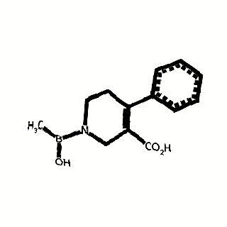 CB(O)N1CCC(c2ccccc2)=C(C(=O)O)C1